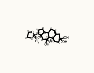 CC12CCC(O)(O)CC1=CCC1C2C(O)(O)CC2(C)C1CC[C@@H]2C1(C)OCCO1